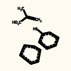 C=C(C)C(=O)O.Sc1ccccc1.c1ccccc1